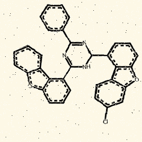 Clc1ccc2c(c1)oc1cccc(C3N=C(c4ccccc4)N=C(c4cccc5oc6ccccc6c45)N3)c12